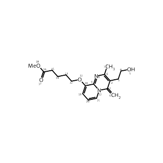 C=C1C(CCO)=C(C)N=C2C(OCCCCC(=O)OC)=CC=CN12